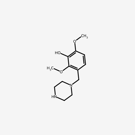 COc1ccc(CN2CCNCC2)c(OC)c1O